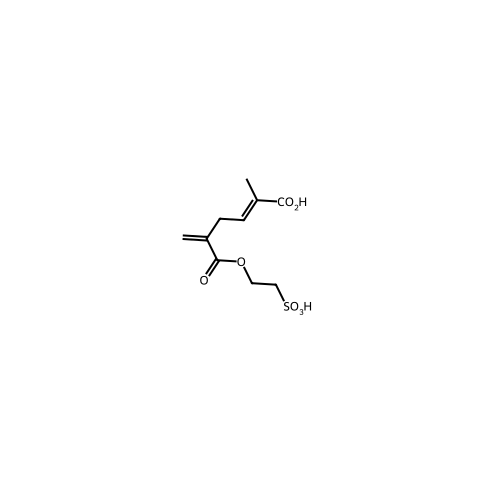 C=C(CC=C(C)C(=O)O)C(=O)OCCS(=O)(=O)O